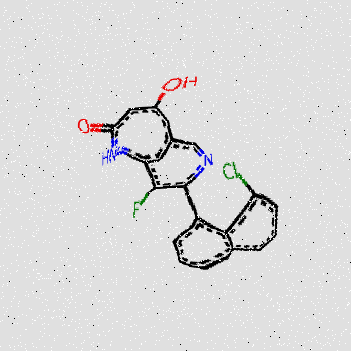 O=c1cc(O)c2cnc(-c3cccc4cccc(Cl)c34)c(F)c2[nH]1